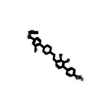 CCCCCCOc1ccc(C2CCC(CCc3ccc(-c4ccc(C)cc4)c(F)c3F)CC2)c(F)c1